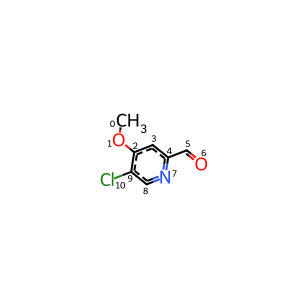 COc1cc(C=O)ncc1Cl